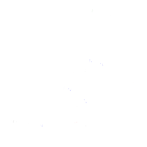 CCOP1(=O)N=C(c2c(O)c(-c3ccsc3)nn(Cc3ccc(F)c(F)c3)c2=O)Nc2ccc(NS(C)(=O)=O)cc21